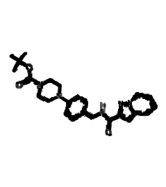 CC(C)(C)OC(=O)N1CCN(c2ccc(CNC(=O)c3cc4ccccn4n3)cc2)CC1